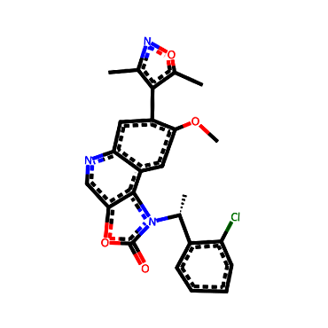 COc1cc2c(cc1-c1c(C)noc1C)ncc1oc(=O)n([C@H](C)c3ccccc3Cl)c12